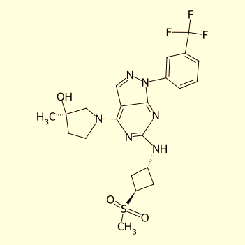 C[C@@]1(O)CCN(c2nc(N[C@H]3C[C@H](S(C)(=O)=O)C3)nc3c2cnn3-c2cccc(C(F)(F)F)c2)C1